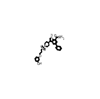 NC(=O)c1cc(-c2ccccc2)cc2c(C3CCN(S(=O)(=O)CCCOc4cccc(O)c4)CC3)c[nH]c12